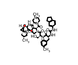 Cc1cccc(C[C@H](NC(=O)Nc2ccc3c(c2)CCC3)C(=O)N[C@@H](CO)C(=O)N2C[C@H](C)C[C@H]2C(=O)N2CCN(C)C[C@H]2C(=O)N[C@@H](C)C(=O)N2C[C@H](C)C[C@@]23CC3=O)c1